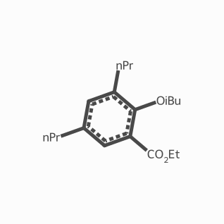 CCCc1cc(CCC)c(OCC(C)C)c(C(=O)OCC)c1